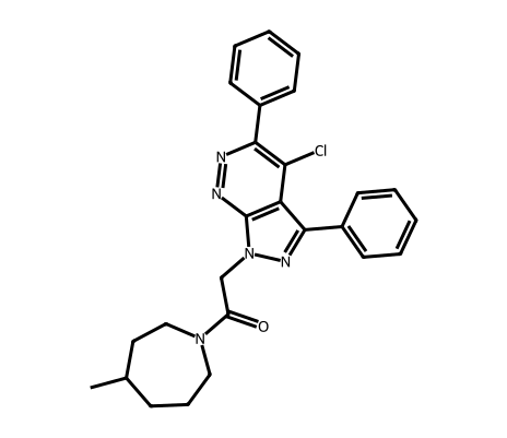 CC1CCCN(C(=O)Cn2nc(-c3ccccc3)c3c(Cl)c(-c4ccccc4)nnc32)CC1